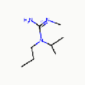 CCCN(/C(N)=N\C)C(C)C